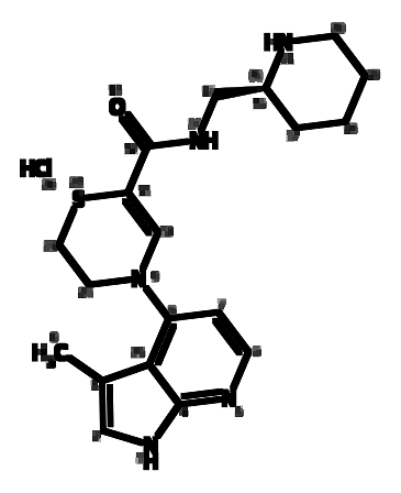 Cc1c[nH]c2nccc(N3C=C(C(=O)NC[C@@H]4CCCCN4)SCC3)c12.Cl